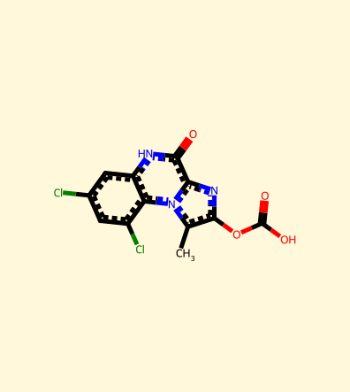 Cc1c(OC(=O)O)nc2c(=O)[nH]c3cc(Cl)cc(Cl)c3n12